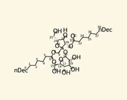 CCCCCCCCCCCCCCCC(=O)OC[C@@]1(O[C@H]2O[C@H](CO)[C@@H](O)[C@H](O)[C@H]2O)O[C@H](CO)[C@@H](O)[C@@H]1OC(=O)CCCCCCCCCCCCCCC